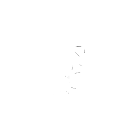 CCCC(Cc1ccc(-c2ccc(Cl)c(Cl)c2)cc1)(NC)C(N)=O